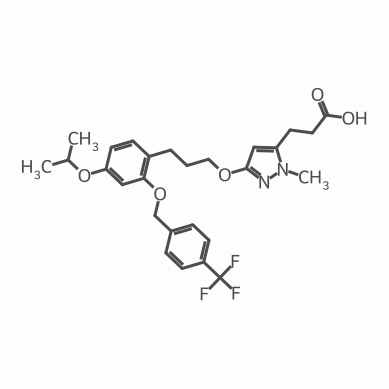 CC(C)Oc1ccc(CCCOc2cc(CCC(=O)O)n(C)n2)c(OCc2ccc(C(F)(F)F)cc2)c1